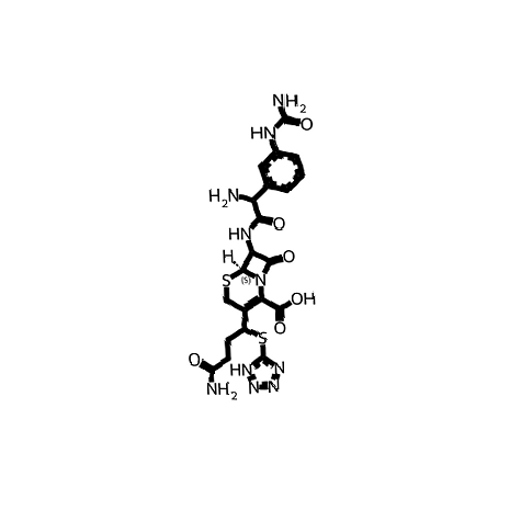 NC(=O)CCC(Sc1nnn[nH]1)C1=C(C(=O)O)N2C(=O)C(NC(=O)C(N)c3cccc(NC(N)=O)c3)[C@@H]2SC1